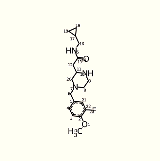 COc1ccc(CN2CCNC(CC(=O)NCC3CC3)C2)cc1F